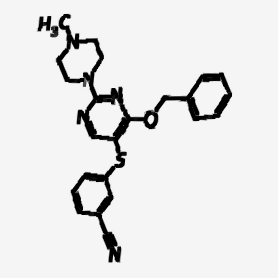 CN1CCN(c2ncc(Sc3cccc(C#N)c3)c(OCc3ccccc3)n2)CC1